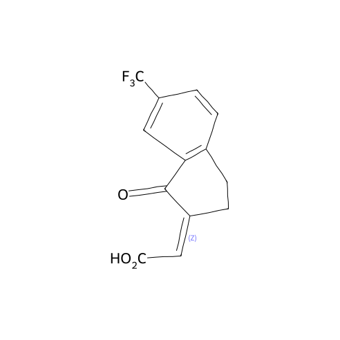 O=C(O)/C=C1/CCc2ccc(C(F)(F)F)cc2C1=O